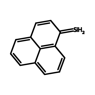 [SiH2]=c1ccc2cccc3cccc1c32